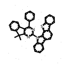 CC1(C)c2ccccc2-c2c(-c3ccccc3)nc(-n3c4ccccc4c4ccc5c6ccccc6sc5c43)nc21